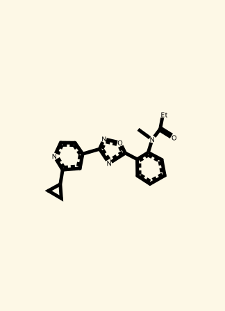 CCC(=O)N(C)c1ccccc1-c1nc(-c2ccnc(C3CC3)c2)no1